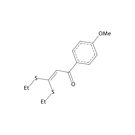 CCSC(=CC(=O)c1ccc(OC)cc1)SCC